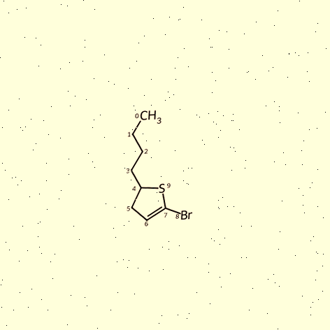 CCCCC1CC=C(Br)S1